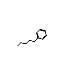 CCCCCc1ccccc1.S